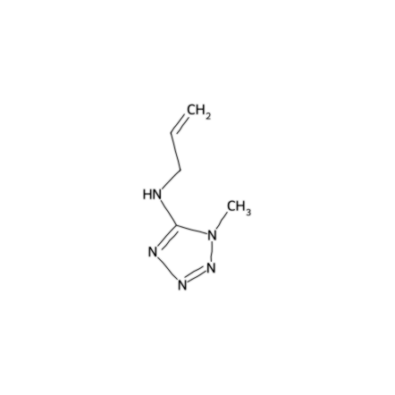 C=CCNc1nnnn1C